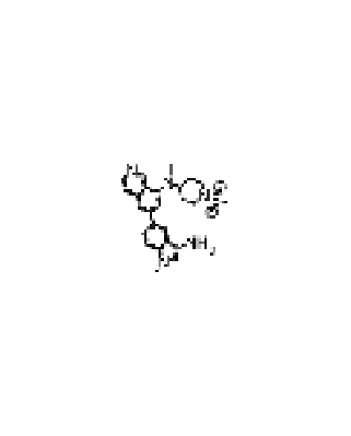 Cn1cc(N)c2cc(-c3cc(NC4CCN(S(C)(=O)=O)CC4)c4cnccc4c3)ccc21